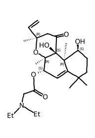 C=C[C@@]1(C)CC(=O)[C@@]2(O)[C@](C)(O1)[C@@H](OC(=O)CN(CC)CC)C=C1C(C)(C)CC[C@H](O)[C@@]12C